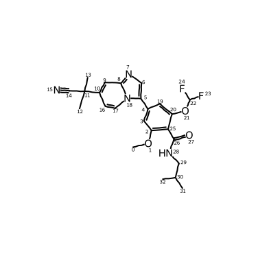 COc1cc(-c2cnc3cc(C(C)(C)C#N)ccn23)cc(OC(F)F)c1C(=O)NCC(C)C